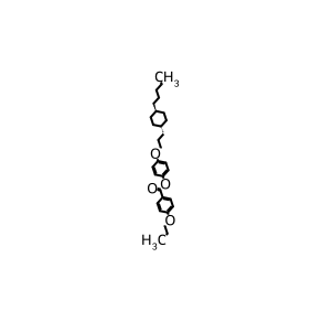 CCCCC[C@H]1CC[C@H](CCCOc2ccc(OC(=O)c3ccc(OCCC)cc3)cc2)CC1